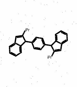 CC(C)C1=Cc2ccccc2C1c1ccc(C2C(C(C)C)=Cc3ccccc32)cc1